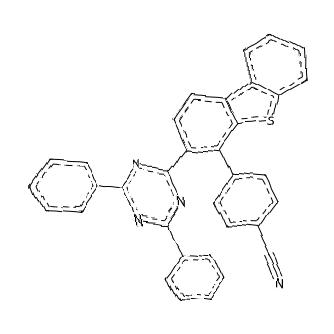 N#Cc1ccc(-c2c(-c3nc(-c4ccccc4)nc(-c4ccccc4)n3)ccc3c2sc2ccccc23)cc1